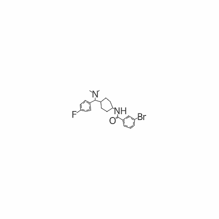 CN(C)C(c1ccc(F)cc1)C1CCC(NC(=O)c2cccc(Br)c2)CC1